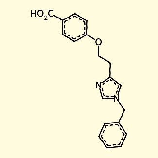 O=C(O)c1ccc(OCCc2cn(Cc3ccccc3)cn2)cc1